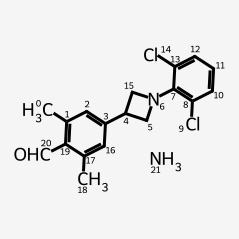 Cc1cc(C2CN(c3c(Cl)cccc3Cl)C2)cc(C)c1C=O.N